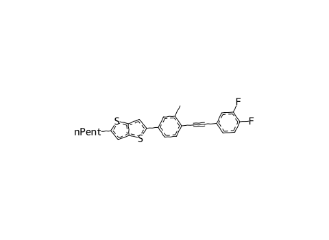 CCCCCc1cc2sc(-c3ccc(C#Cc4ccc(F)c(F)c4)c(C)c3)cc2s1